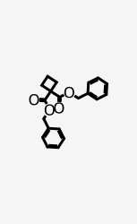 O=C(OCc1ccccc1)C1(C(=O)OCc2ccccc2)CCC1